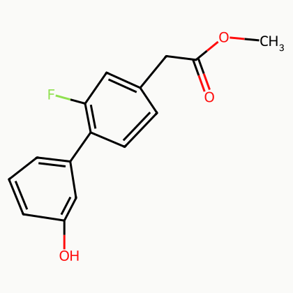 COC(=O)Cc1ccc(-c2cccc(O)c2)c(F)c1